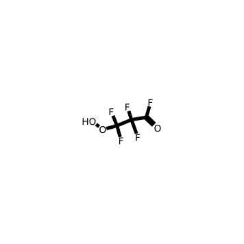 O=C(F)C(F)(F)C(F)(F)OO